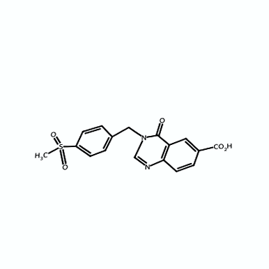 CS(=O)(=O)c1ccc(Cn2cnc3ccc(C(=O)O)cc3c2=O)cc1